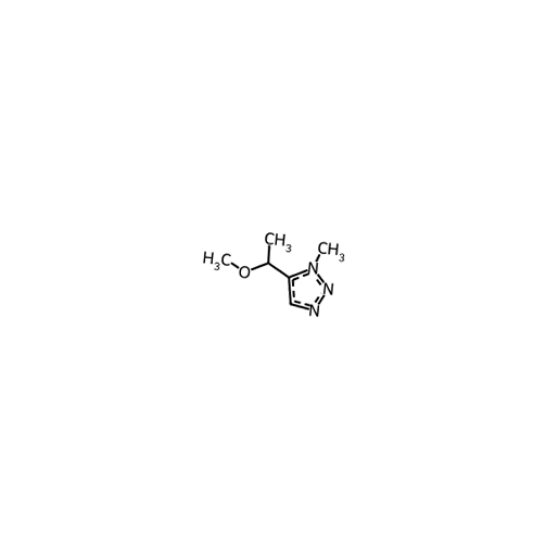 COC(C)c1cnnn1C